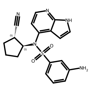 N#C[C@H]1CCC[C@@H]1N(c1ccnc2[nH]ccc12)S(=O)(=O)c1cccc(N)c1